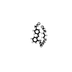 O=C=NC1CCC(CC2CCCCC2N=C=O)CC1.O=C=NCCCN=C=O